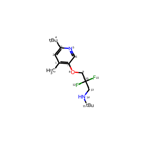 Cc1cc(C(C)(C)C)ncc1OCC(F)(F)CNC(C)(C)C